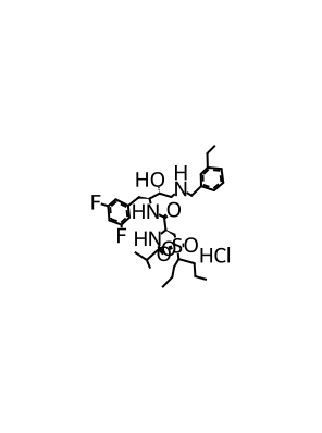 CCCC(CCC)S(=O)(=O)C[C@@H](NC(=O)C(C)C)C(=O)N[C@@H](Cc1cc(F)cc(F)c1)[C@H](O)CNCc1cccc(CC)c1.Cl